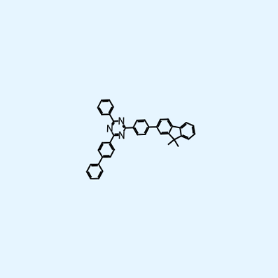 CC1(C)c2ccccc2-c2ccc(-c3ccc(-c4nc(-c5ccccc5)nc(-c5ccc(-c6ccccc6)cc5)n4)cc3)cc21